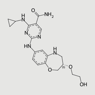 NC(=O)c1cnc(Nc2ccc3c(c2)NC[C@H](OCCO)CO3)nc1NC1CC1